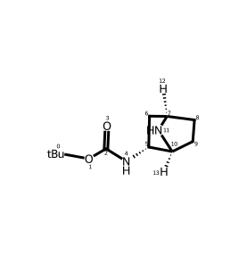 CC(C)(C)OC(=O)N[C@@H]1C[C@H]2CC[C@@H]1N2